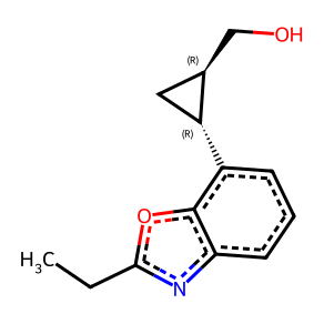 CCc1nc2cccc([C@@H]3C[C@H]3CO)c2o1